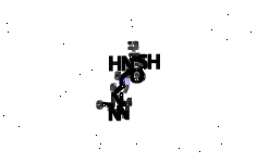 Cc1nncn1C/C=C/C(=O)N[C@H](C)S